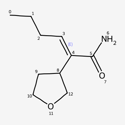 CCC/C=C(/C(N)=O)C1CCOC1